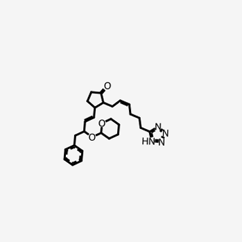 O=C1CCC(C=CC(Cc2ccccc2)OC2CCCCO2)C1C/C=C\CCCc1nnn[nH]1